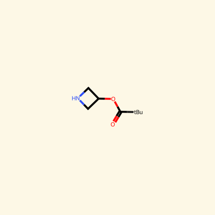 CC(C)(C)C(=O)OC1CNC1